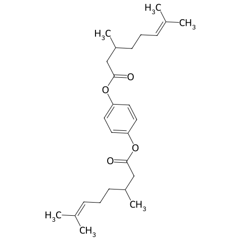 CC(C)=CCCC(C)CC(=O)Oc1ccc(OC(=O)CC(C)CCC=C(C)C)cc1